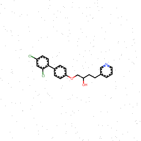 OC(CCc1cccnc1)COc1ccc(-c2ccc(Cl)cc2Cl)cc1